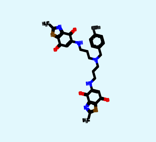 COc1ccc(CN(CCCNC2=CC(=O)c3sc(C)nc3C2=O)CCCNC2=CC(=O)c3sc(C)nc3C2=O)cc1